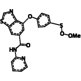 COOSc1ccc(Oc2cc(C(=O)Nc3ccccn3)cc3scnc23)cc1